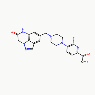 COC(=O)c1ccc(N2CCN(Cc3cc4c5c(cnn5CC(=O)N4)c3)CC2)c(F)n1